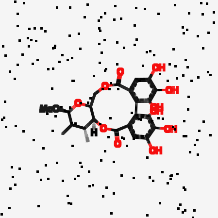 CO[C@H]1OC2COC(=O)c3cc(O)c(O)c(O)c3-c3c(cc(O)c(O)c3O)C(=O)O[C@H]2[C@H](C)C1C